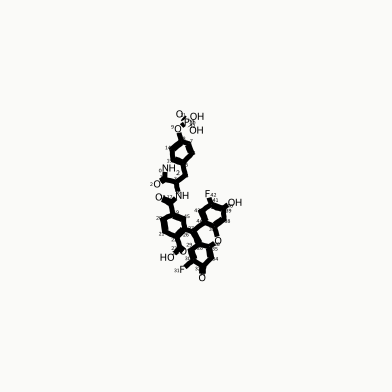 NC(=O)C(Cc1ccc(OP(=O)(O)O)cc1)NC(=O)c1ccc(C(=O)O)c(-c2c3cc(F)c(=O)cc-3oc3cc(O)c(F)cc23)c1